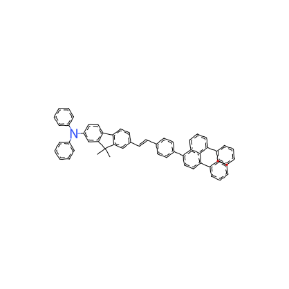 CC1(C)c2cc(/C=C/c3ccc(-c4ccc(-c5ccccc5)c5c(-c6ccccc6)cccc45)cc3)ccc2-c2ccc(N(c3ccccc3)c3ccccc3)cc21